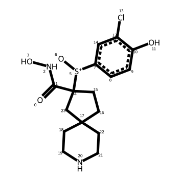 O=C(NO)C1([S+]([O-])c2ccc(O)c(Cl)c2)CCC2(CCNCC2)C1